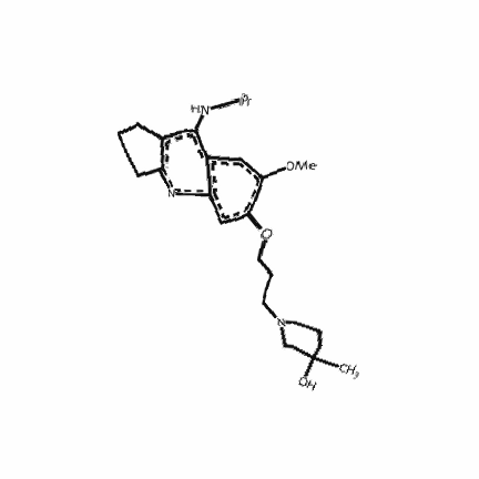 COc1cc2c(NC(C)C)c3c(nc2cc1OCCCN1CC(C)(O)C1)CCC3